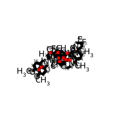 COc1ccc(CN(Cc2ccc(OC)cc2)c2cc(C)c(C(F)(F)F)c(-c3c(Cl)c4c5c(nc(OCC6(C)CC(F)(F)CN6C)nc5c3F)N([C@H](C)c3cccnc3N(Cc3ccc(OC)cc3)Cc3ccc(OC)cc3)CCO4)n2)cc1